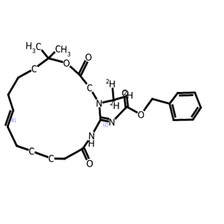 [2H]C([2H])([2H])N1CC(=O)OC(C)(C)CCC/C=C/CCCCC(=O)N/C1=N/C(=O)OCc1ccccc1